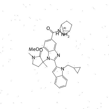 COc1cc(C(=O)N2CC3CCC2[C@@H]3N)cc2nc(-c3cc4ccccc4n3CC3CC3)n(C3(C)CCN(C)C3=O)c12